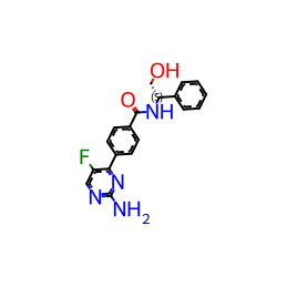 Nc1ncc(F)c(-c2ccc(C(=O)N[C@H](CO)c3ccccc3)cc2)n1